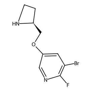 Fc1ncc(OC[C@@H]2CCN2)cc1Br